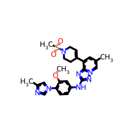 COc1cc(Nc2nc3c(C4=CCN(S(C)(=O)=O)CC4)cc(C)cn3n2)ccc1-n1cnc(C)c1